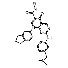 CCNC(=O)c1cn(-c2ccc3c(c2)CCC3)c2nc(Nc3cccc(CN(C)C)c3)ncc2c1=O